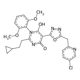 COc1cccc(OC)c1-n1c(CCC2CC2)nc(=O)c(-c2nnc(Cc3ccc(Cl)cn3)o2)c1O